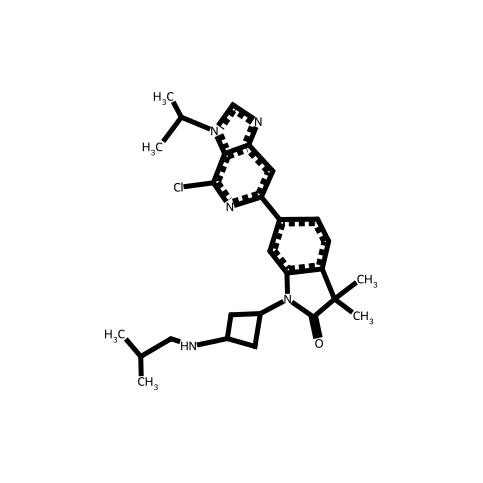 CC(C)CNC1CC(N2C(=O)C(C)(C)c3ccc(-c4cc5ncn(C(C)C)c5c(Cl)n4)cc32)C1